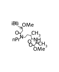 CCCN(CCC(C)C(=O)N[C@@H](C)C(=O)OC)C(=O)C[C@H](C[C@@H](C)CC)OC